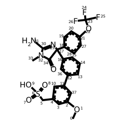 COc1cc(CS(=O)(=O)O)cc(-c2cccc(C3(c4ccc(OC(F)(F)F)cc4)N=C(N)N(C)C3=O)c2)c1